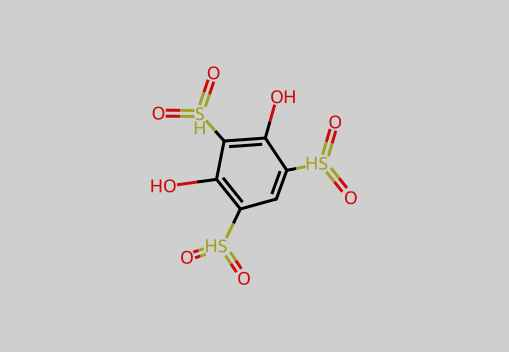 O=[SH](=O)c1cc([SH](=O)=O)c(O)c([SH](=O)=O)c1O